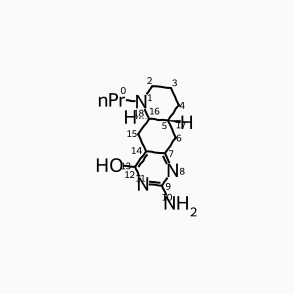 CCCN1CCC[C@@H]2Cc3nc(N)nc(O)c3C[C@H]21